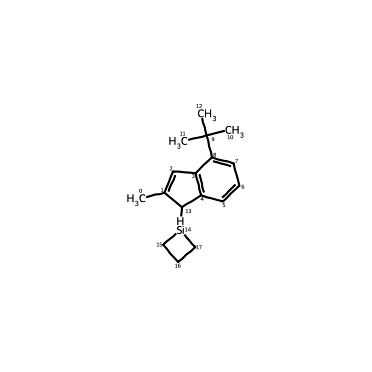 CC1=Cc2c(cccc2C(C)(C)C)C1[SiH]1CCC1